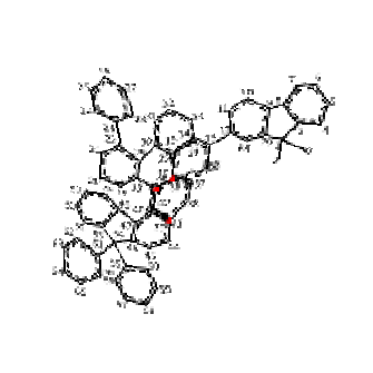 CC1(C)c2ccccc2-c2ccc(-c3ccc(N(c4cccc(-c5ccccc5)c4-c4ccccc4-c4ccccc4)c4cccc5c4-c4ccccc4C5(c4ccccc4)c4ccccc4)cc3)cc21